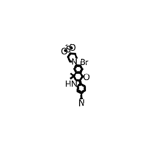 CC1(C)c2cc(N3CCC(S(C)(=O)=O)CC3)c(Br)cc2C(=O)c2c1[nH]c1cc(C#N)ccc21